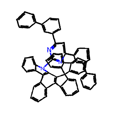 c1ccc(-c2cccc(-c3cc(-c4cccc(-c5ccccc5)c4)nc(-n4c5ccccc5c5c6ccccc6c6c(c54)C4(c5ccccc5-c5ccccc54)c4ccccc4-6)n3)c2)cc1